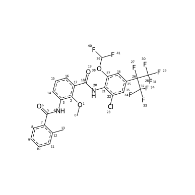 COc1c(NC(=O)c2ccccc2C)cccc1C(=O)Nc1c(Cl)cc(C(F)(C(F)(F)F)C(F)(F)F)cc1OC(F)F